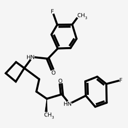 Cc1ccc(C(=O)NC2(CC[C@H](C)C(=O)Nc3ccc(F)cc3)CCC2)cc1F